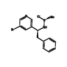 CC(C)(C)[S@+]([O-])N[C@@H](Cc1ccccc1)c1cncc(Br)c1